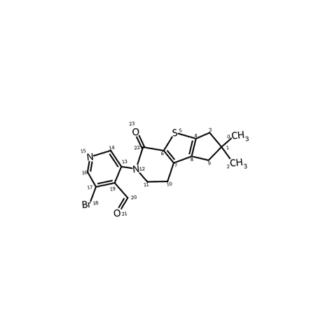 CC1(C)Cc2sc3c(c2C1)CCN(c1cncc(Br)c1C=O)C3=O